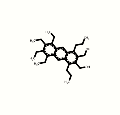 CCCc1c(CO)c(CO)c(CCC)c2cc3c(CC)c(CC)c(CC)c(CC)c3cc12